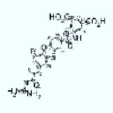 C/C(=C\c1cc(F)c(Oc2ccc(S(=O)(=O)Nc3cc(C(=O)O)cc(C(=O)O)c3)cc2)c(F)c1)C(=O)N=C(N)N